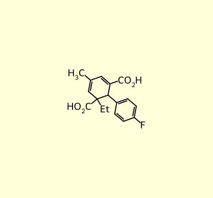 CCC1(C(=O)O)C=C(C)C=C(C(=O)O)C1c1ccc(F)cc1